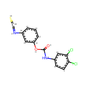 O=C(Nc1ccc(Cl)c(Cl)c1)Oc1cccc(N=C=S)c1